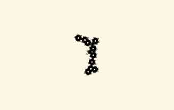 CC1(C)c2cc(-c3ccc(-c4cc5ccccc5c5ccccc45)cc3)ccc2-c2ccc(N(c3ccccc3)c3ccc4cc(-c5ccccc5)ccc4c3)cc21